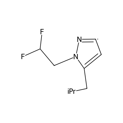 CC(C)Cc1c[c]nn1CC(F)F